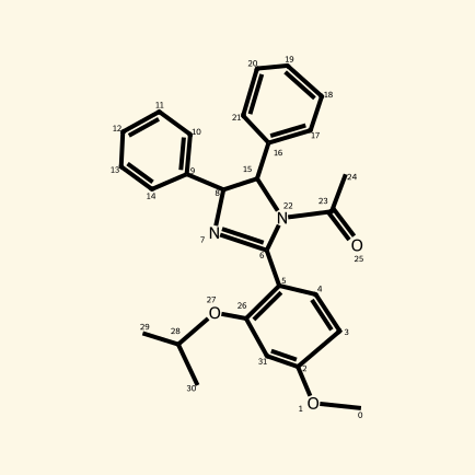 COc1ccc(C2=NC(c3ccccc3)C(c3ccccc3)N2C(C)=O)c(OC(C)C)c1